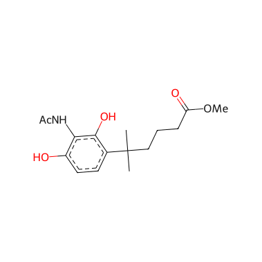 COC(=O)CCCC(C)(C)c1ccc(O)c(NC(C)=O)c1O